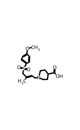 COc1ccc(S(=O)(=O)CC(C)=CCN2CCC(C(=O)O)CC2)cc1